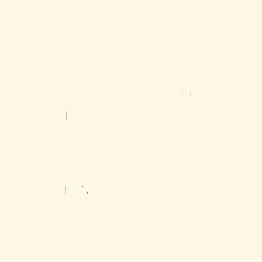 CC(CCCN)c1cccc(C(C)(C)C)c1